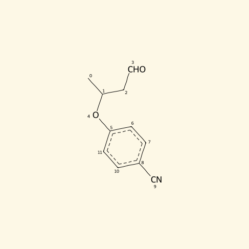 CC(CC=O)Oc1ccc(C#N)cc1